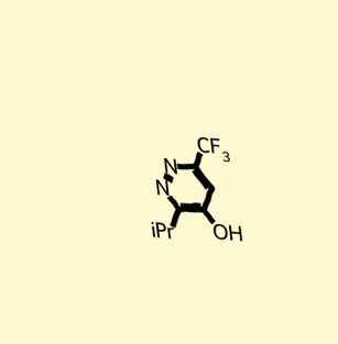 CC(C)c1nnc(C(F)(F)F)cc1O